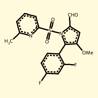 COc1cc(C=O)n(S(=O)(=O)c2cccc(C)n2)c1-c1ccc(F)cc1F